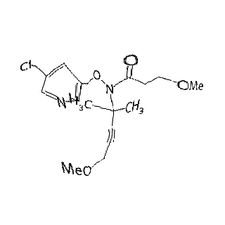 COCC#CC(C)(C)N(Oc1cncc(Cl)c1)C(=O)CCOC